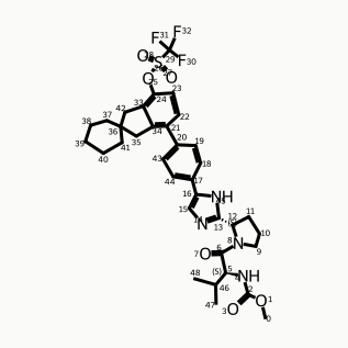 COC(=O)N[C@H](C(=O)N1CCC[C@H]1c1ncc(-c2ccc(-c3ccc(OS(=O)(=O)C(F)(F)F)c4c3CC3(CCCCC3)C4)cc2)[nH]1)C(C)C